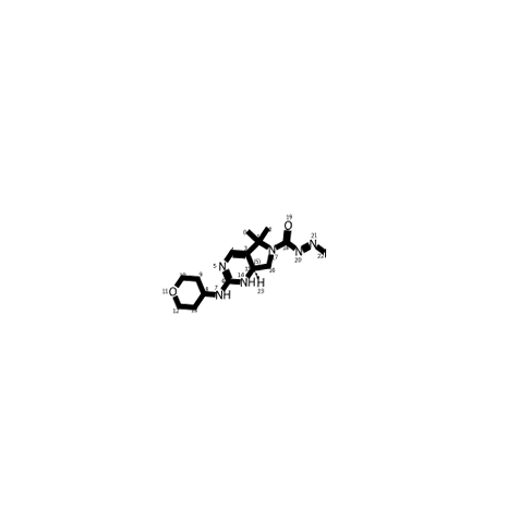 CC1(C)C2=CN=C(NC3CCOCC3)N[C@@H]2CN1C(=O)N=NI